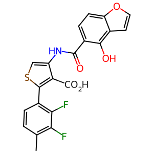 Cc1ccc(-c2scc(NC(=O)c3ccc4occc4c3O)c2C(=O)O)c(F)c1F